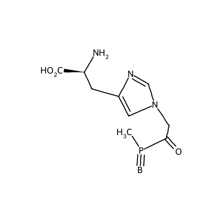 B#P(C)C(=O)Cn1cnc(C[C@H](N)C(=O)O)c1